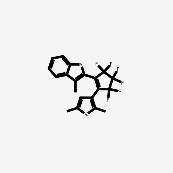 Cc1cc(C2=C(c3sc4ccccc4c3C)C(F)(F)C(F)(F)C2(F)F)c(C)s1